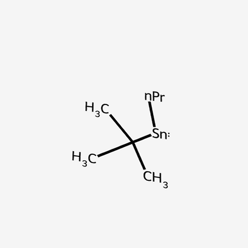 CC[CH2][Sn][C](C)(C)C